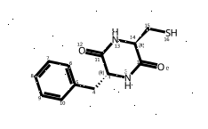 O=C1N[C@H](Cc2ccccc2)C(=O)N[C@H]1CS